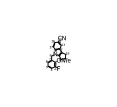 COc1c(F)cccc1Cn1c2c(c3cc(C#N)ccc31)CCC2